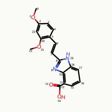 COc1ccc(/C=C/c2nc3c(C(=O)O)cccc3[nH]2)c(OC)c1